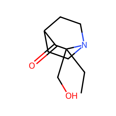 CCC1(CO)C(=O)C2CCN1CC2